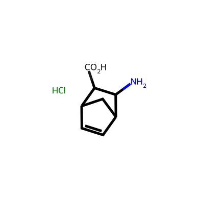 Cl.NC1C2C=CC(C2)C1C(=O)O